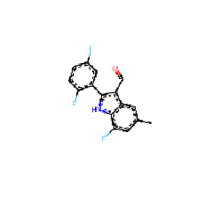 Cc1cc(F)c2[nH]c(-c3cc(F)ccc3F)c(C=O)c2c1